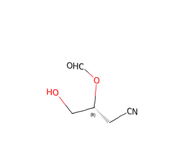 N#CC[C@H](CO)OC=O